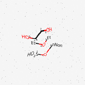 CCCCCCCCCOS(=O)(=O)O.CCOCC.OCCO